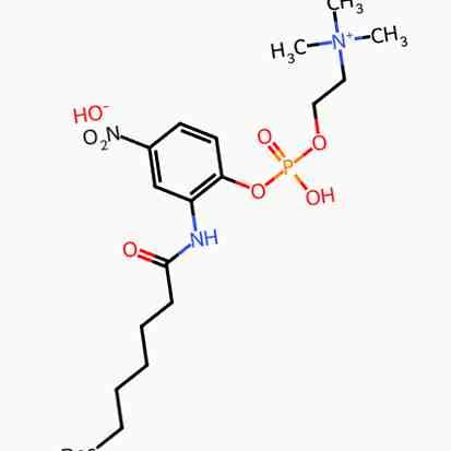 CCCCCCCCCCCCCCCC(=O)Nc1cc([N+](=O)[O-])ccc1OP(=O)(O)OCC[N+](C)(C)C.[OH-]